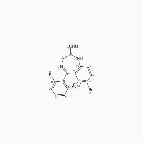 O=CC1CN=C(c2c(F)cccc2F)c2c(ccc(Br)c2Cl)N1